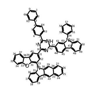 c1ccc(-c2ccc(C3=NC(c4cc(-n5c6ccccc6c6cc7ccccc7cc65)c5oc6ccccc6c5c4)=NC(c4ccc5c6ccccc6n(-c6ccccc6)c5c4)N3)cc2)cc1